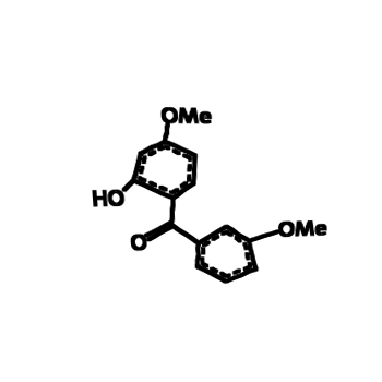 COc1cccc(C(=O)c2ccc(OC)cc2O)c1